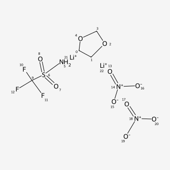 C1COCO1.NS(=O)(=O)C(F)(F)F.O=[N+]([O-])[O-].O=[N+]([O-])[O-].[Li+].[Li+]